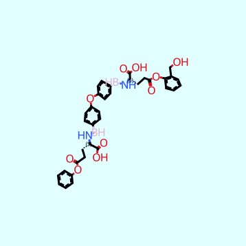 O=C(CC[C@H](NBc1ccc(Oc2ccc(BN[C@@H](CCC(=O)Oc3ccccc3CO)C(=O)O)cc2)cc1)C(=O)O)Oc1ccccc1